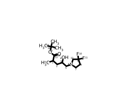 CC(CC(O)CN1CCC(F)(F)C1)C(=O)OC(C)(C)C